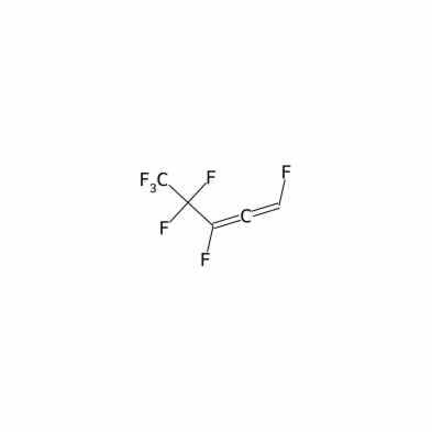 FC=C=C(F)C(F)(F)C(F)(F)F